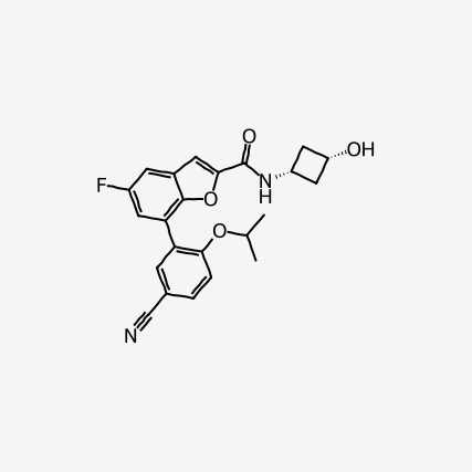 CC(C)Oc1ccc(C#N)cc1-c1cc(F)cc2cc(C(=O)N[C@H]3C[C@@H](O)C3)oc12